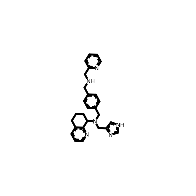 c1ccc(CNCc2ccc(CN(Cc3c[nH]cn3)C3CCCc4cccnc43)cc2)nc1